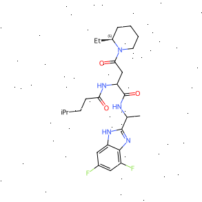 CC[C@H]1CCCCN1C(=O)CC(NC(=O)CCC(C)C)C(=O)NC(C)c1nc2c(F)cc(F)cc2[nH]1